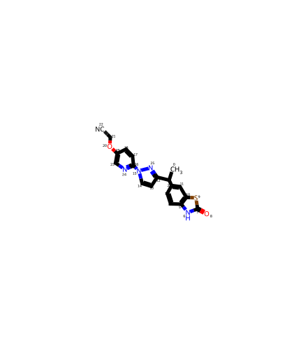 CC(c1ccc2[nH]c(=O)sc2c1)c1ccn(-c2ccc(OCC#N)cn2)n1